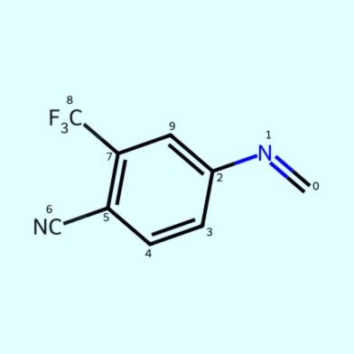 C=Nc1ccc(C#N)c(C(F)(F)F)c1